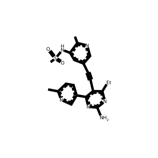 CCc1nc(N)nc(-c2ccc(C)nc2)c1C#Cc1cnc(C)c(NS(C)(=O)=O)c1